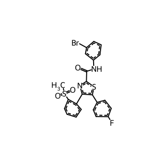 CS(=O)(=O)c1ccccc1-c1nc(C(=O)Nc2cccc(Br)c2)sc1-c1ccc(F)cc1